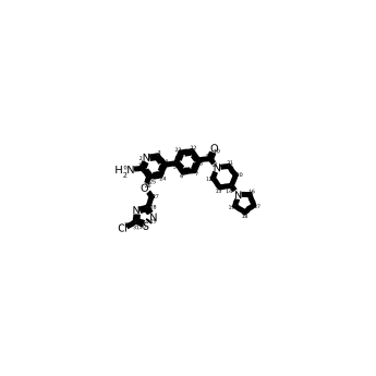 Nc1ncc(-c2ccc(C(=O)N3CCC(N4CCCC4)CC3)cc2)cc1OCc1nsc(Cl)n1